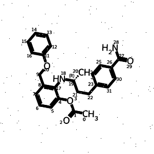 CC(=O)Oc1cccc(COc2ccccc2)c1N[C@H](C)CCc1ccc(C(N)=O)cc1